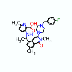 Cc1cc(C(C)Nc2ccc(C)nc2C(=O)O)c2cc(N3CCN(Cc4ccc(F)cc4)CC3)n(C)c(=O)c2c1